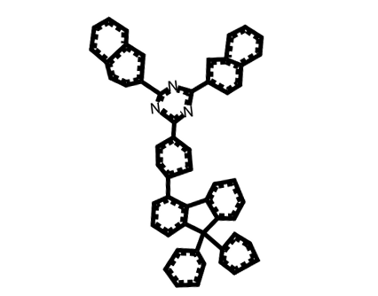 c1ccc(C2(c3ccccc3)c3ccccc3-c3c(-c4ccc(-c5nc(-c6ccc7ccccc7c6)nc(-c6ccc7ccccc7c6)n5)cc4)cccc32)cc1